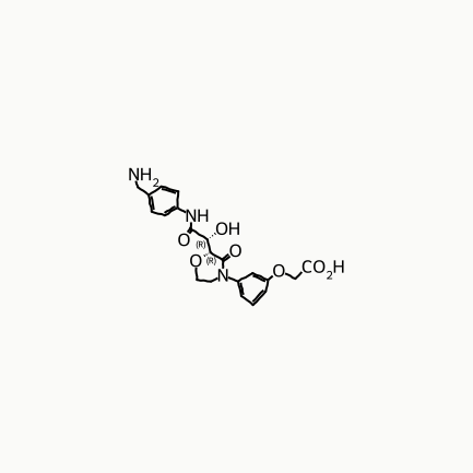 NCc1ccc(NC(=O)[C@H](O)[C@H]2OCCN(c3cccc(OCC(=O)O)c3)C2=O)cc1